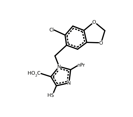 CCCc1nc(S)c(C(=O)O)n1Cc1cc2c(cc1Cl)OCO2